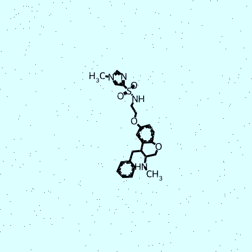 CNC1COc2ccc(OCCNS(=O)(=O)c3cn(C)cn3)cc2C1Cc1ccccc1